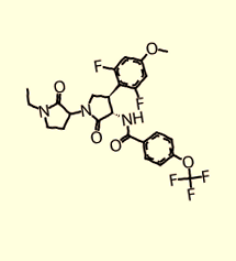 CCN1CCC(N2C[C@@H](c3c(F)cc(OC)cc3F)[C@H](NC(=O)c3ccc(OC(F)(F)F)cc3)C2=O)C1=O